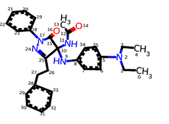 CCN(CC)c1ccc(NC2(NC(C)=O)C(=O)N(c3ccccc3)N=C2CCc2ccccc2)cc1